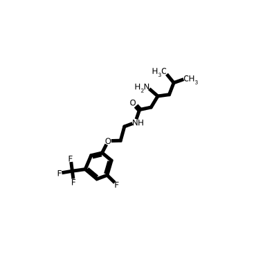 CC(C)CC(N)CC(=O)NCCOc1cc(F)cc(C(F)(F)F)c1